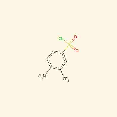 O=[N+]([O-])c1ccc(S(=O)(=O)Cl)cc1C(F)(F)F